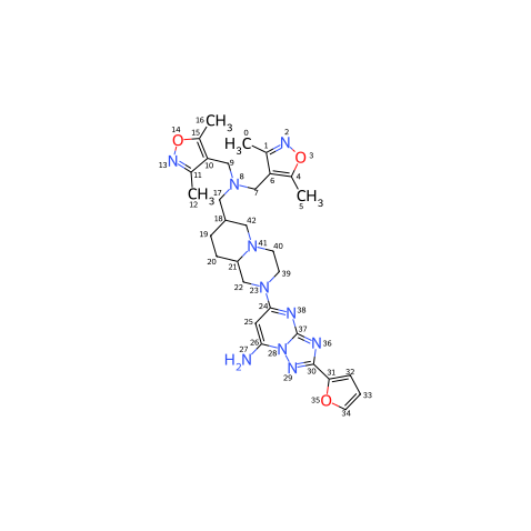 Cc1noc(C)c1CN(Cc1c(C)noc1C)CC1CCC2CN(c3cc(N)n4nc(-c5ccco5)nc4n3)CCN2C1